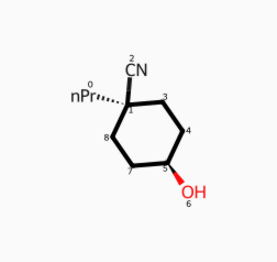 CCC[C@]1(C#N)CC[C@@H](O)CC1